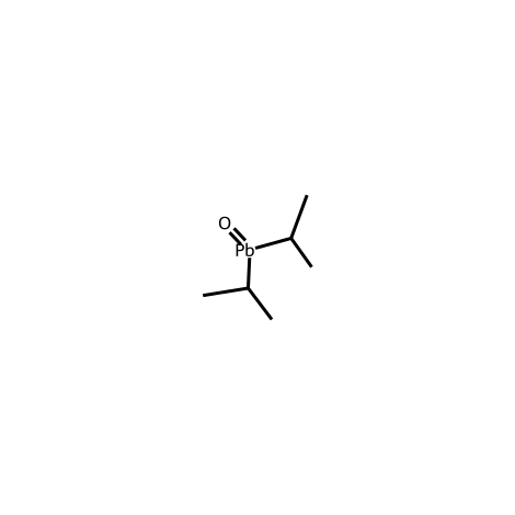 C[CH](C)[Pb](=[O])[CH](C)C